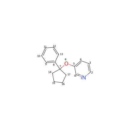 [c]1ncccc1OC1(c2ccccc2)CCCC1